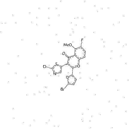 COc1c(F)ccc2oc(-c3ccc(Br)o3)c(-c3cnc(Cl)s3)c(=O)c12